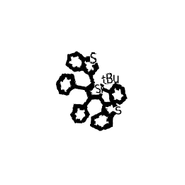 CC(C)(C)[Si]1(c2ccccc2)C(c2csc3ccccc23)=C(c2ccccc2)C(c2ccccc2)=C1c1csc2ccccc12